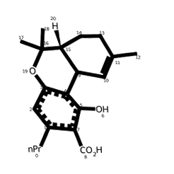 CCCc1cc2c(c(O)c1C(=O)O)C1C=C(C)CC[C@H]1C(C)(C)O2